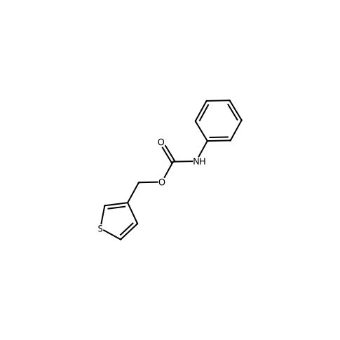 O=C(Nc1ccccc1)OCc1ccsc1